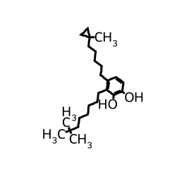 CC(C)(C)CCCCCCc1c(CCCCCC2(C)CC2)ccc(O)c1O